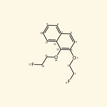 FCCOc1ccc2ccccc2c1OCCF